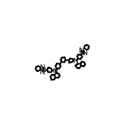 c1cc(-c2ccc(N(c3ccc(-n4nc5ccccc5n4)cc3)c3cccc4ccccc34)cc2)cc(-c2ccc(N(c3ccc(-n4nc5ccccc5n4)cc3)c3cccc4ccccc34)cc2)c1